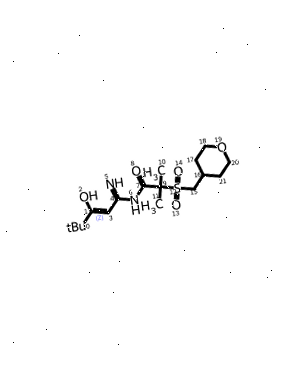 CC(C)(C)/C(O)=C/C(=N)NC(=O)C(C)(C)S(=O)(=O)CC1CCOCC1